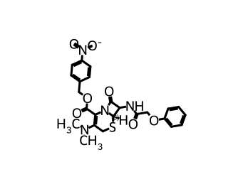 CN(C)C1=C(C(=O)OCc2ccc([N+](=O)[O-])cc2)N2C(=O)C(NC(=O)COc3ccccc3)[C@@H]2SC1